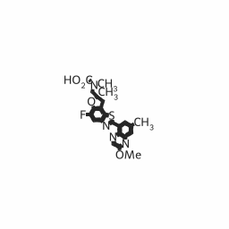 COc1cnc2c(-c3nc4cc(F)c5c(c4s3)C[C@@](C)(CN(C)C(=O)O)O5)cc(C)cc2n1